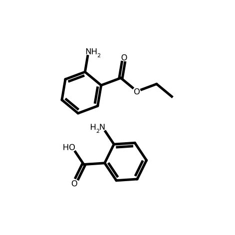 CCOC(=O)c1ccccc1N.Nc1ccccc1C(=O)O